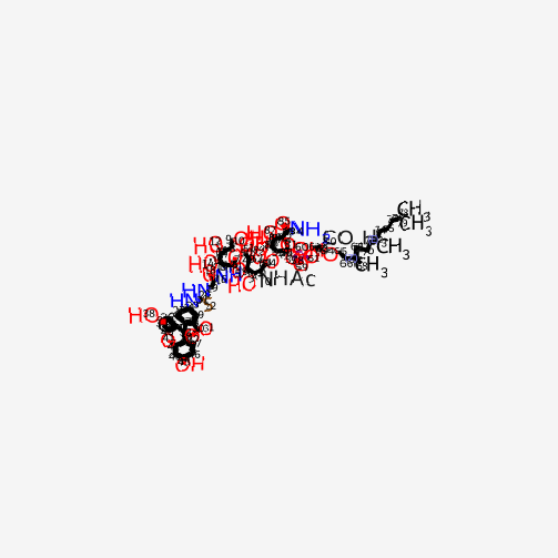 CC(=O)N[C@H]1C(O)[C@H](O[C@@H]2OC(CO)[C@H](O)C(O)[C@@H]2NC(=O)CNC(=S)Nc2ccc3c(c2)C(=O)OC32c3ccc(O)cc3Oc3cc(O)ccc32)C(CO)O[C@H]1OC1[C@@H](OP(=O)(O)OC[C@@H](OC/C=C(/C)CC/C=C(\C)CCC=C(C)C)C(=O)O)OC(C(N)=O)[C@H](O)[C@@H]1O